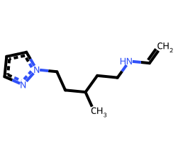 C=CNCCC(C)CCn1cccn1